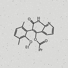 CCOc1c(C)ccc(C)c1-c1c(OC(=O)C(C)C)c2cccnc2[nH]c1=O